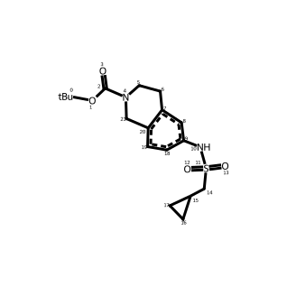 CC(C)(C)OC(=O)N1CCc2cc(NS(=O)(=O)CC3CC3)ccc2C1